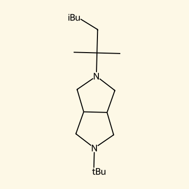 CCC(C)CC(C)(C)N1CC2CN(C(C)(C)C)CC2C1